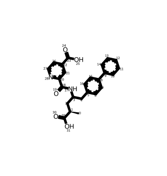 C[C@H](CC(Cc1ccc(-c2ccccc2)cc1)NC(=O)c1cc(C(=O)O)ccn1)C(=O)O